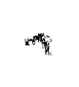 CN(CC=CC(=O)N1CC[C@@H](n2nc(-c3ccc(C(=O)Nc4cc(C#N)ccn4)cc3)c3c(N)ncnc32)C1)C1CC1